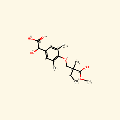 CCC(C)(COc1c(C)cc(C(O)C(=O)O)cc1C)C(O)OC